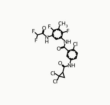 Cc1c(F)c(NC(=O)c2cc(NC(=O)C3CC3(Cl)Cl)ccc2Cl)cc(NC(=O)C(F)F)c1F